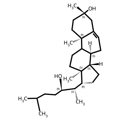 CC(C)CC[C@@H](O)[C@@H](C)[C@H]1CC[C@H]2[C@@H]3CC=C4C[C@@](C)(O)CC[C@]4(C)C3CC[C@]12C